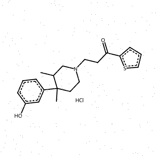 CC1CN(CCC(=O)c2cccs2)CCC1(C)c1cccc(O)c1.Cl